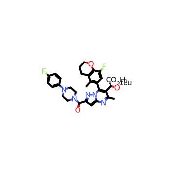 Cc1nc2cc(C(=O)N3CCN(c4ccc(F)cc4)CC3)nn2c(-c2cc(F)c3c(c2C)CCCO3)c1[C@H](OC(C)(C)C)C(=O)O